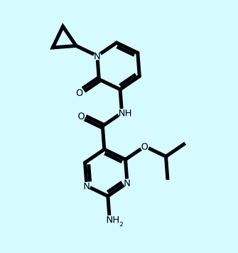 CC(C)Oc1nc(N)ncc1C(=O)Nc1cccn(C2CC2)c1=O